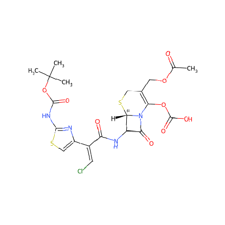 CC(=O)OCC1=C(OC(=O)O)N2C(=O)C(NC(=O)C(=CCl)c3csc(NC(=O)OC(C)(C)C)n3)[C@@H]2SC1